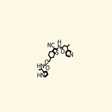 CC(CC(=O)Nc1sc2c(c1C#N)CCC(COC(=O)NC(C)c1ccc[nH]1)C2)c1cccnc1